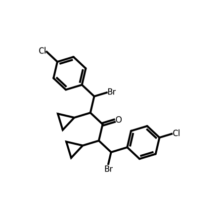 O=C(C(C1CC1)C(Br)c1ccc(Cl)cc1)C(C1CC1)C(Br)c1ccc(Cl)cc1